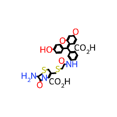 NC1C(=O)N2C(C(=O)O)=C(CSCC(=O)Nc3ccc(C(=O)O)c(-c4c5ccc(=O)cc-5oc5cc(O)ccc45)c3)CSC12